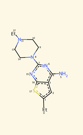 CCc1cc2c(N)nc(N3CCN(CC)CC3)nc2s1